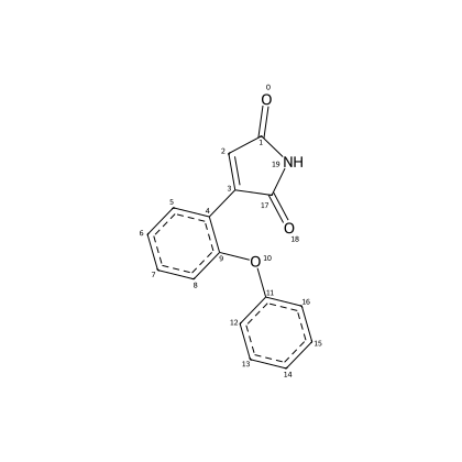 O=C1C=C(c2ccccc2Oc2ccccc2)C(=O)N1